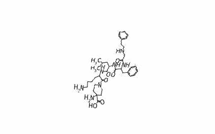 CC(C)CC(NC(=O)C(Cc1ccccc1)NC(=O)CNCCc1ccccc1)C(=O)NC(CCCCN)C(=O)N1CCC(N)(C(=O)O)CC1